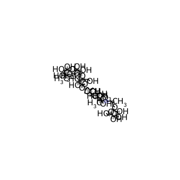 C[C@@H](C/C=C1\O[C@H]2C[C@H]3[C@@H]4CC=C5C[C@@H](O[C@@H]6O[C@H](CO)[C@@H](O[C@@H]7O[C@@H](C)[C@H](O[C@@H]8O[C@@H](C)[C@H](O)[C@@H](O)[C@H]8O)[C@@H](O)[C@H]7O)[C@H](O)[C@H]6O)CC[C@]5(C)[C@H]4CC[C@]3(C)[C@H]2[C@@]1(C)O)CO[C@@H]1O[C@H](CO)[C@@H](O)[C@H](O)[C@H]1O